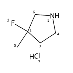 CC1(F)CCNC1.Cl